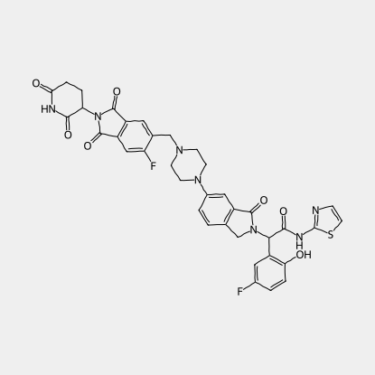 O=C1CCC(N2C(=O)c3cc(F)c(CN4CCN(c5ccc6c(c5)C(=O)N(C(C(=O)Nc5nccs5)c5cc(F)ccc5O)C6)CC4)cc3C2=O)C(=O)N1